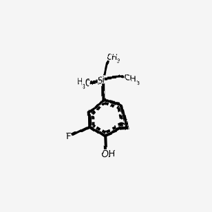 C[Si](C)(C)c1ccc(O)c(F)c1